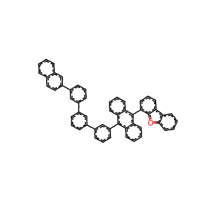 c1cc(-c2cccc(-c3ccc4ccccc4c3)c2)cc(-c2cccc(-c3c4ccccc4c(-c4cccc5c4oc4ccccc45)c4ccccc34)c2)c1